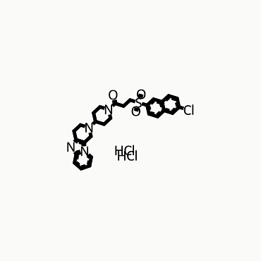 Cl.Cl.O=C(CCS(=O)(=O)c1ccc2cc(Cl)ccc2c1)N1CCC(N2CCc3nc4ccccn4c3C2)CC1